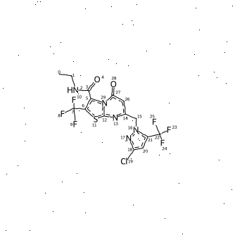 CCNC(=O)c1c(C(F)(F)F)sc2nc(Cn3nc(Cl)cc3C(F)(F)F)cc(=O)n12